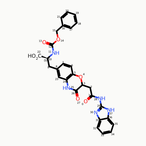 O=C(CC1Oc2ccc(C[C@H](NC(=O)OCc3ccccc3)C(=O)O)cc2NC1=O)Nc1nc2ccccc2[nH]1